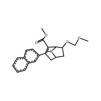 COCOC1CC2CC(c3ccc4ccccc4c3)=C(C(=O)OC)C1N2C